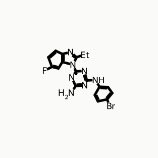 CCc1nc2ccc(F)cc2n1-c1nc(N)nc(Nc2ccc(Br)cc2)n1